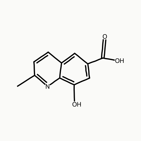 Cc1ccc2cc(C(=O)O)cc(O)c2n1